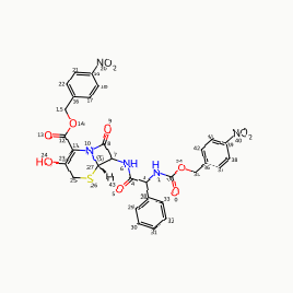 O=C(NC(C(=O)NC1C(=O)N2C(C(=O)OCc3ccc([N+](=O)[O-])cc3)=C(O)CS[C@@H]12)c1ccccc1)OCc1ccc([N+](=O)[O-])cc1